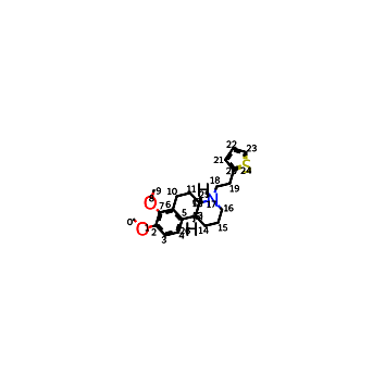 COc1ccc2c(c1OC)CC[C@H]1[C@H]2CCCN1CCc1cccs1